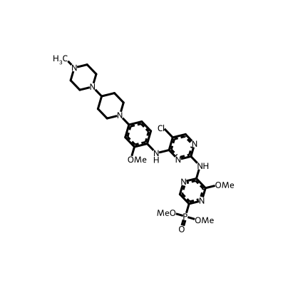 COc1cc(N2CCC(N3CCN(C)CC3)CC2)ccc1Nc1nc(Nc2ncc(P(=O)(OC)OC)nc2OC)ncc1Cl